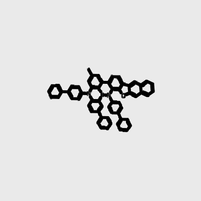 Cc1cc2c3c(c1)N(c1ccc(-c4ccccc4)cc1)c1ccc(-c4ccccc4)cc1B3N(c1ccc(-c3ccccc3)cc1)c1c-2ccc2c1oc1cc3ccccc3cc12